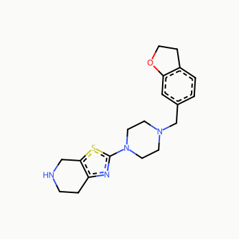 c1cc2c(cc1CN1CCN(c3nc4c(s3)CNCC4)CC1)OCC2